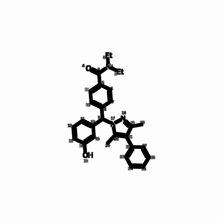 CCN(CC)C(=O)c1ccc(C(c2cccc(O)c2)n2nc(C)c(-c3ccccc3)c2C)cc1